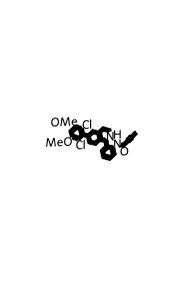 CC#CC(=O)Nc1ccccc1C1=NCCC2=C1CCC(c1c(Cl)c(OC)cc(OC)c1Cl)C2